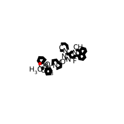 CCc1cccc2cccc(-c3ncc4c(N5CCCCCC5)nc(OC[C@]56CCCN5[C@H](CO[Si](c5ccccc5)(c5ccccc5)C(C)(C)C)CC6)nc4c3F)c12